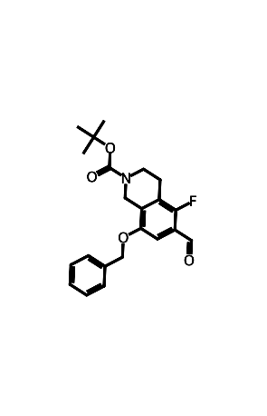 CC(C)(C)OC(=O)N1CCc2c(F)c(C=O)cc(OCc3ccccc3)c2C1